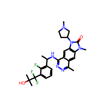 Cc1nnc(NC(C)c2cccc(C(F)(F)C(C)(C)O)c2F)c2cc3c(cc12)n(C)c(=O)n3C1CCN(C)C1